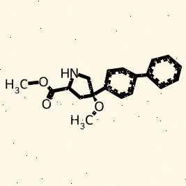 COC(=O)C1C[C@@](OC)(c2ccc(-c3ccccc3)cc2)CN1